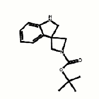 CC(C)(C)OC(=O)N1CC2(CNc3ccccc32)C1